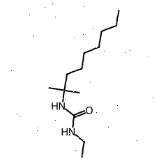 CCCCCCCC(C)(C)NC(=O)NCC